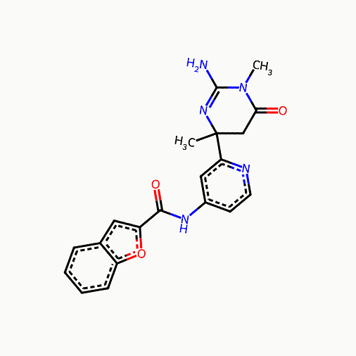 CN1C(=O)CC(C)(c2cc(NC(=O)c3cc4ccccc4o3)ccn2)N=C1N